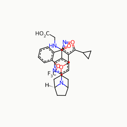 O=C(O)CNC(=O)c1ccc(N2C3CC[C@H]2CC(OCc2c(-c4ccccc4OC(F)(F)F)noc2C2CC2)C3)nc1